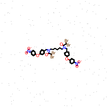 O=C(C(Br)Br)N(CCCCCCN(Cc1ccc(Oc2ccc([N+](=O)[O-])cc2)cc1)C(=O)C(Br)Br)Cc1ccc(Oc2ccc([N+](=O)[O-])cc2)cc1